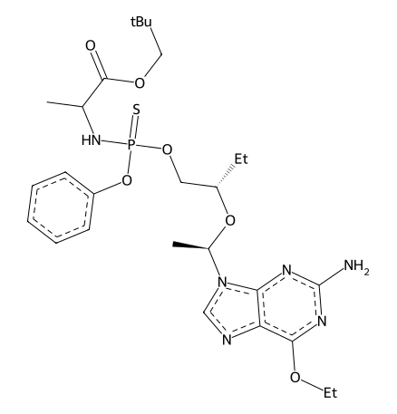 CCOc1nc(N)nc2c1ncn2[C@@H](C)O[C@@H](CC)COP(=S)(NC(C)C(=O)OCC(C)(C)C)Oc1ccccc1